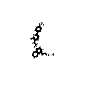 Cc1nc(-c2ccc(C(F)(F)F)cc2)ccc1CCOc1ccc(CCC(=O)O)c2c1CCCC2